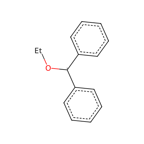 CCO[C](c1ccccc1)c1ccccc1